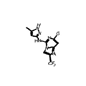 Cc1cc(Nc2nc(Cl)cc3nc(C(F)(F)F)cn23)n[nH]1